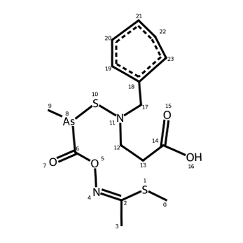 CS/C(C)=N\OC(=O)[As](C)SN(CCC(=O)O)Cc1ccccc1